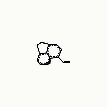 C=Cc1ccc2c3c(cccc13)CC2